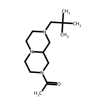 CC(=O)N1CCN2CCN(CC(C)(C)C)CC2C1